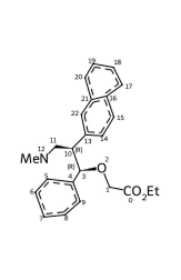 CCOC(=O)CO[C@@H](c1ccccc1)[C@@H](CNC)c1ccc2ccccc2c1